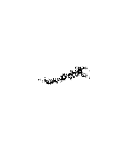 CCN1CCN(CCCNCc2ccc(Nc3ncnc4c(C(=O)Nc5c(Cl)c(OC)cc(OC)c5Cl)csc34)nc2)CC1